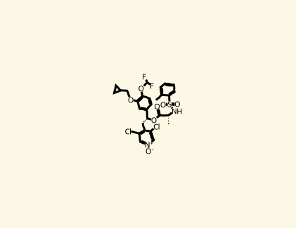 Cc1ccccc1S(=O)(=O)N[C@H](C)C(=O)O[C@H](Cc1c(Cl)c[n+]([O-])cc1Cl)c1ccc(OC(F)F)c(OCC2CC2)c1